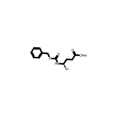 COC(=O)CC[C@H](NC(=O)OCc1ccccc1)C(C)=O